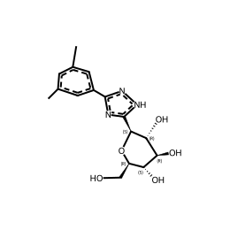 Cc1cc(C)cc(-c2n[nH]c([C@@H]3O[C@H](CO)[C@@H](O)[C@H](O)[C@H]3O)n2)c1